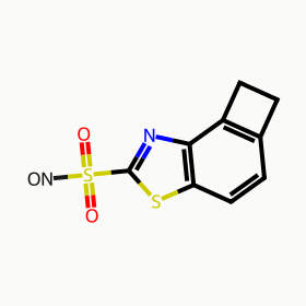 O=NS(=O)(=O)c1nc2c3c(ccc2s1)CC3